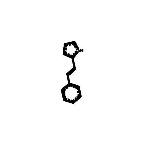 C(=Cc1ccc[nH]1)c1ccccc1